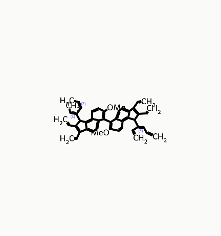 C=C/C=C(\C=C)C1C(C=C)=C(C=C)c2ccc3c(-c4c(OC)ccc5c6c(ccc45)C(C=C)=C(C=C)C6C(/C=C\C)=C/C)c(OC)ccc3c21